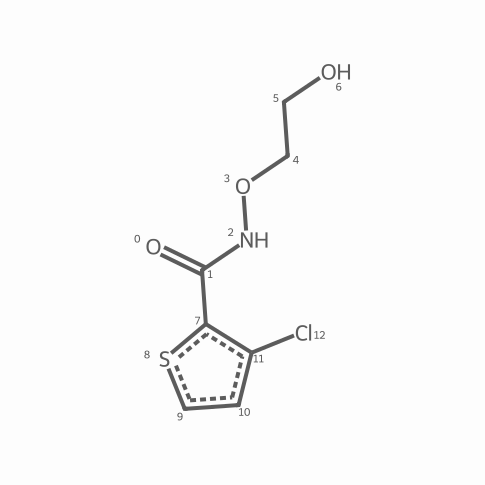 O=C(NOCCO)c1sccc1Cl